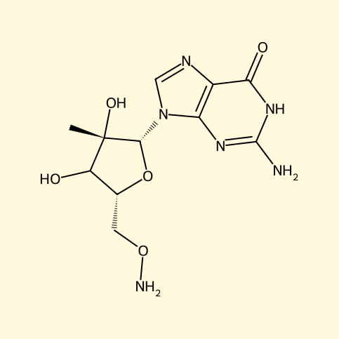 C[C@]1(O)C(O)[C@@H](CON)O[C@H]1n1cnc2c(=O)[nH]c(N)nc21